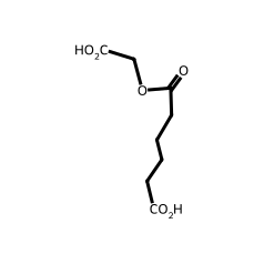 O=C(O)CCCCC(=O)OCC(=O)O